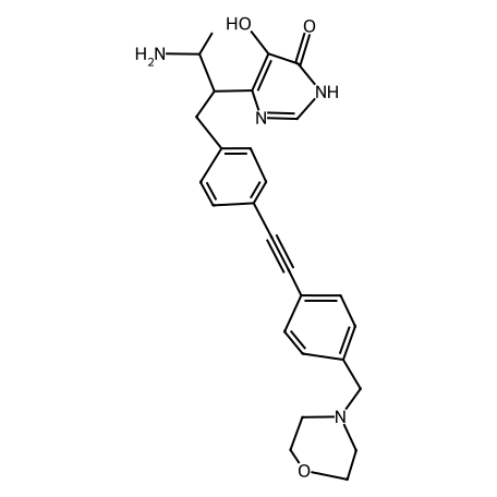 CC(N)C(Cc1ccc(C#Cc2ccc(CN3CCOCC3)cc2)cc1)c1nc[nH]c(=O)c1O